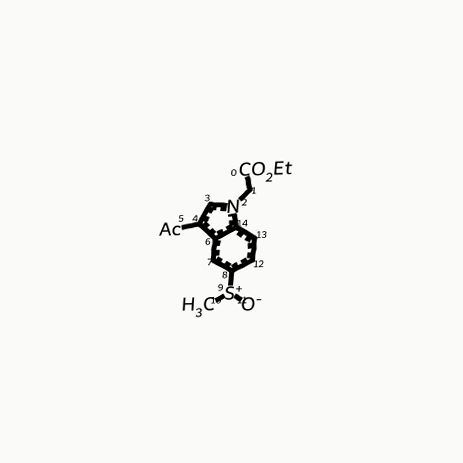 CCOC(=O)Cn1cc(C(C)=O)c2cc([S+](C)[O-])ccc21